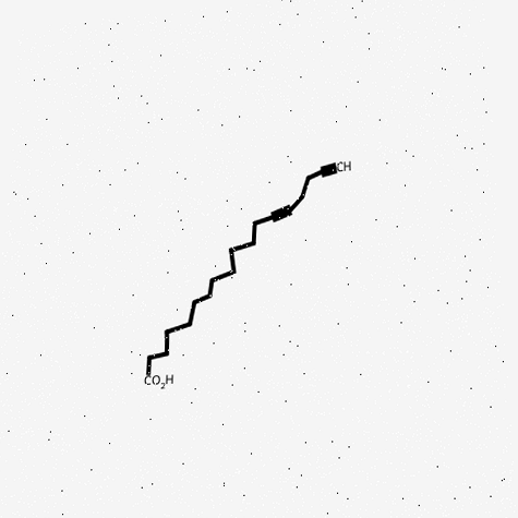 C#CCCC#CCCCCCCCCCCCC(=O)O